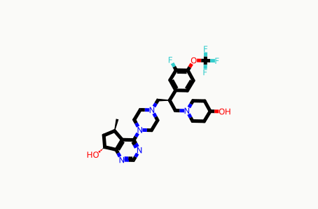 C[C@@H]1C[C@@H](O)c2ncnc(N3CCN(C[C@H](CN4CCC(O)CC4)c4ccc(OC(F)(F)F)c(F)c4)CC3)c21